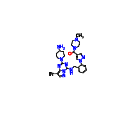 CC(C)c1cnn2c(NCc3ccccc3-n3cc(C(=O)N4CCN(C)CC4)cn3)nc(N3CCC(N)CC3)nc12